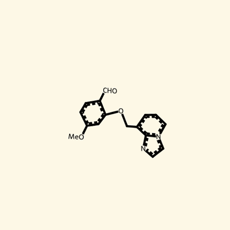 COc1ccc(C=O)c(OCc2cccn3ccnc23)c1